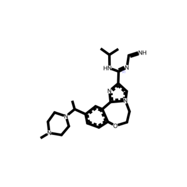 CC(C)N/C(=N\C=N)c1cn2c(n1)-c1cc(C(C)N3CCN(C)CC3)ccc1OCC2